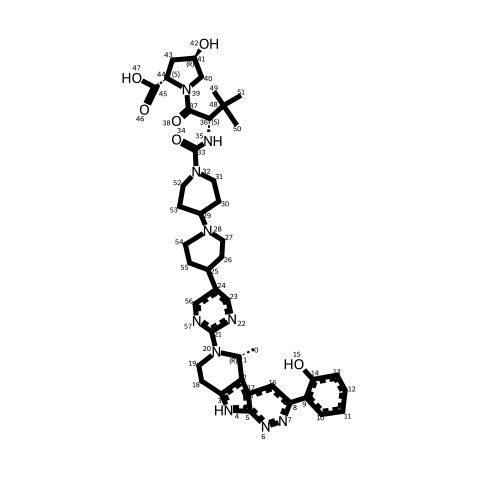 C[C@@H]1c2c([nH]c3nnc(-c4ccccc4O)cc23)CCN1c1ncc(C2CCN(C3CCN(C(=O)N[C@H](C(=O)N4C[C@H](O)C[C@H]4C(=O)O)C(C)(C)C)CC3)CC2)cn1